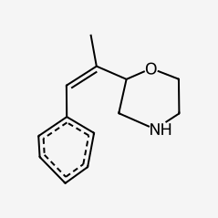 CC(=Cc1ccccc1)C1CNCCO1